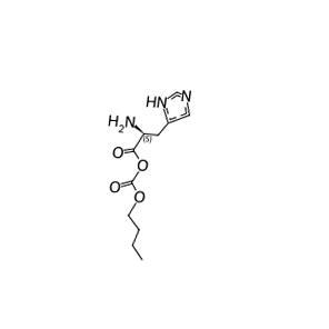 CCCCOC(=O)OC(=O)[C@@H](N)Cc1cnc[nH]1